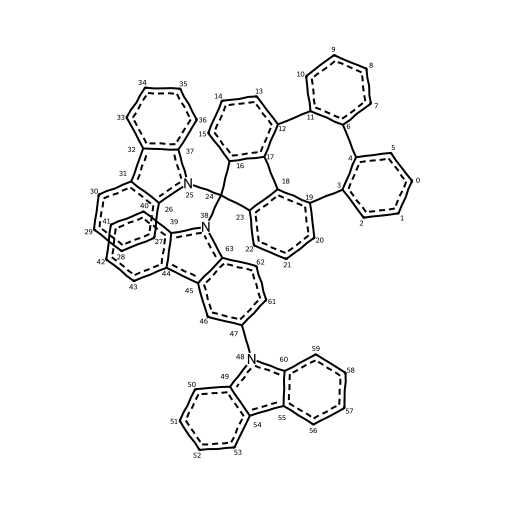 c1ccc2c(c1)-c1ccccc1-c1cccc3c1-c1c-2cccc1C3(n1c2ccccc2c2ccccc21)n1c2ccccc2c2cc(-n3c4ccccc4c4ccccc43)ccc21